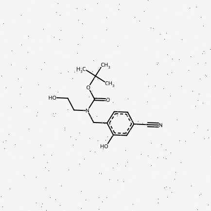 CC(C)(C)OC(=O)N(CCO)Cc1ccc(C#N)cc1O